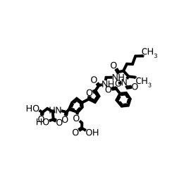 CCCCCC(C(=O)NCNC(=O)c1ccc(-c2ccc(C(=O)NC(CC(=O)O)C(=O)O)c(OCC(=O)O)c2)o1)C(CC)N(C=O)OC(=O)c1ccccc1